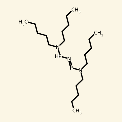 CCCCCN(CCCCC)P=NPN(CCCCC)CCCCC